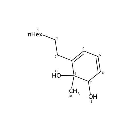 CCCCCCCCC1=CC=CC(O)C1(C)O